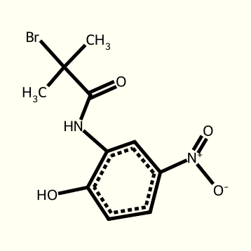 CC(C)(Br)C(=O)Nc1cc([N+](=O)[O-])ccc1O